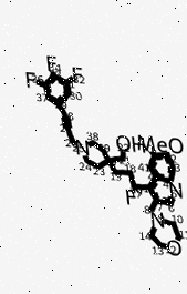 COc1ccc2ncc(CN3CCOCC3)c([C@H](F)CCC3(CO)CCN(CC#Cc4cc(F)c(F)c(F)c4)CC3)c2c1